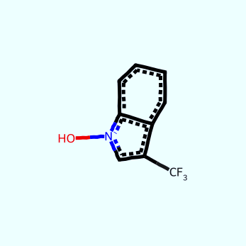 On1cc(C(F)(F)F)c2ccccc21